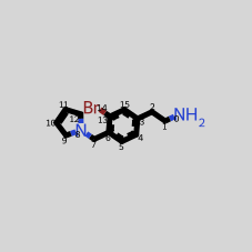 NCCc1ccc(CN2CC=CC2)c(Br)c1